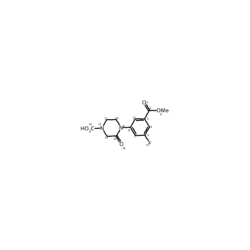 COC(=O)c1cc(F)cc(N2CCN(C(=O)O)CC2=O)c1